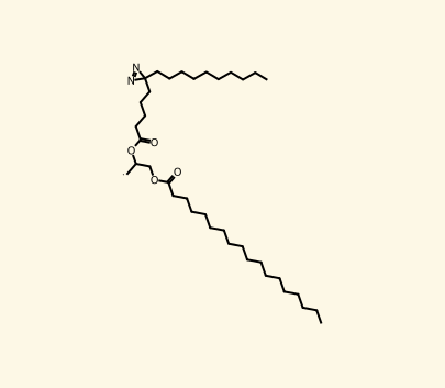 [CH2]C(COC(=O)CCCCCCCCCCCCCCCCC)OC(=O)CCCCC1(CCCCCCCCCC)N=N1